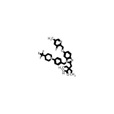 CCC(CC)(Cc1nc2ccc(OCc3ncc(C)cc3F)cc2n1Cc1ccc(N2CCC(C(F)(F)F)CC2)cc1)C(=O)O